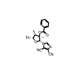 CC[C@H]1O[C@@H](n2cnc(C#N)c2C#N)[C@](C)(OC(=O)c2ccccc2)[C@@H]1C